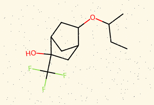 CCC(C)OC1CC2CC1CC2(O)C(F)(F)F